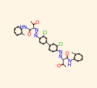 CC(=O)C(/N=N/c1ccc(-c2ccc(/N=N/C(C(C)=O)C(=O)Nc3ccccc3C)c(Cl)c2)cc1Cl)C(=O)Nc1ccccc1C